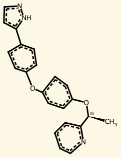 C[C@H](Oc1ccc(Oc2ccc(-c3ccn[nH]3)cc2)cc1)c1ccccn1